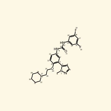 Cn1nccc1-c1cc(NC(=O)Nc2cc(F)cc(F)c2)ccc1OCCN1CCCCC1